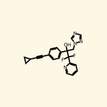 OC(Cn1cncn1)(c1ccc(C#CC2CC2)cc1)C(F)(F)c1ccccn1